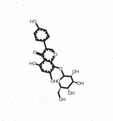 O=c1c(-c2ccc(O)cc2)coc2c(OC3O[C@H](CO)[C@@H](O)[C@H](O)[C@H]3O)c(O)cc(O)c12